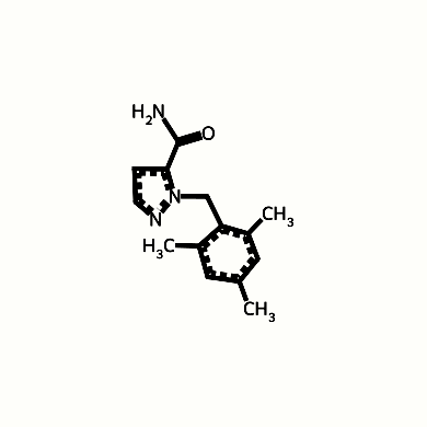 Cc1cc(C)c(Cn2nccc2C(N)=O)c(C)c1